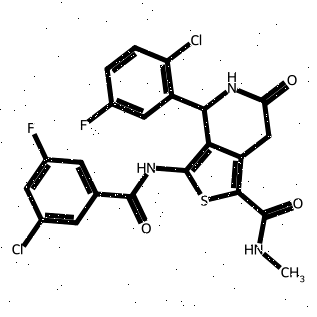 CNC(=O)c1sc(NC(=O)c2cc(F)cc(Cl)c2)c2c1CC(=O)NC2c1cc(F)ccc1Cl